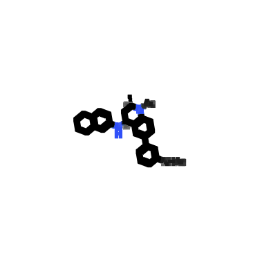 CC(=O)Nc1cccc(-c2ccc3c(c2)[C@H](Nc2ccc4c(c2)CCCC4)C[C@H](C)N3C(C)=O)c1